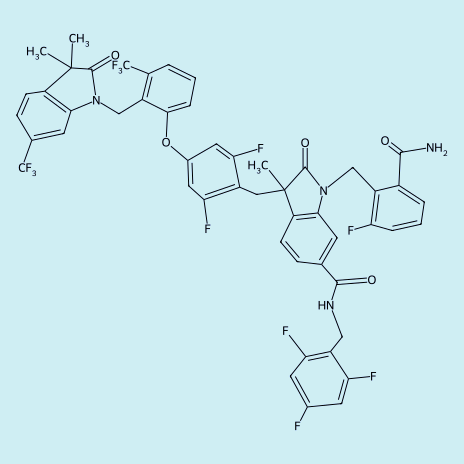 CC1(C)C(=O)N(Cc2c(Oc3cc(F)c(CC4(C)C(=O)N(Cc5c(F)cccc5C(N)=O)c5cc(C(=O)NCc6c(F)cc(F)cc6F)ccc54)c(F)c3)cccc2C(F)(F)F)c2cc(C(F)(F)F)ccc21